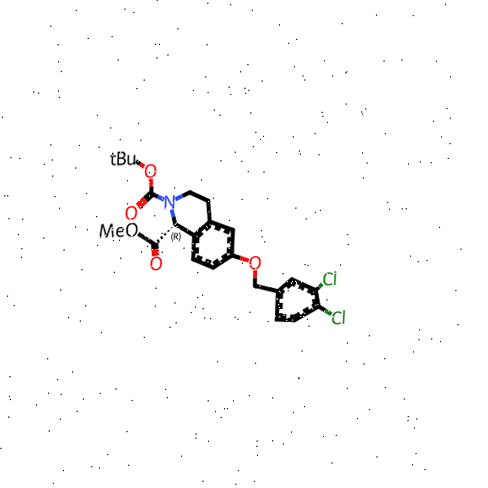 COC(=O)[C@H]1c2ccc(OCc3ccc(Cl)c(Cl)c3)cc2CCN1C(=O)OC(C)(C)C